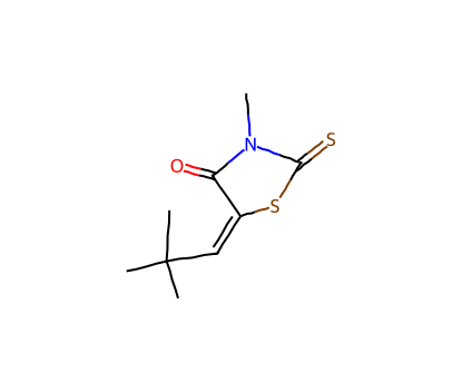 CN1C(=O)/C(=C\C(C)(C)C)SC1=S